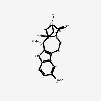 COc1ccc2[nH]c3c(c2c1)CCN1C(=O)[C@H]2C[C@@H]3[C@@H]1C2